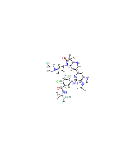 CC(C)n1cnc2cc(-c3cnc4c(c3)N(C3CC(C)(N5CCC(F)C5)C3)C(=O)C4(C)C)nc(Nc3cc(C(=O)NC4(C(F)F)CC4)c(Cl)c(F)c3F)c21